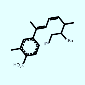 C/C(=C\C=C/C(C)C(CC(C)C)C(C)(C)C)c1ccc(C(=O)O)c(C)c1